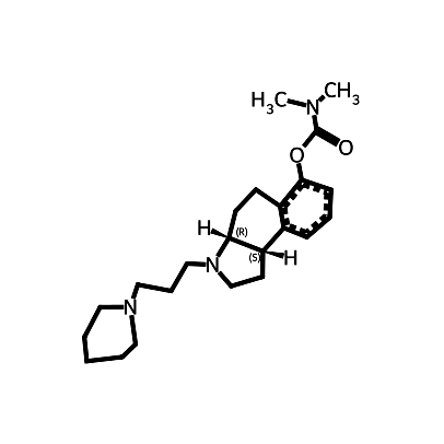 CN(C)C(=O)Oc1cccc2c1CC[C@@H]1[C@H]2CCN1CCCN1CCCCC1